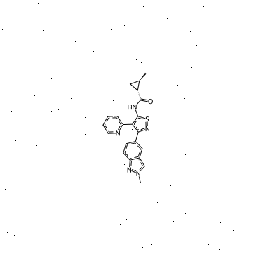 C[C@@H]1C[C@H]1C(=O)Nc1snc(-c2ccc3nn(C)cc3c2)c1-c1ccccn1